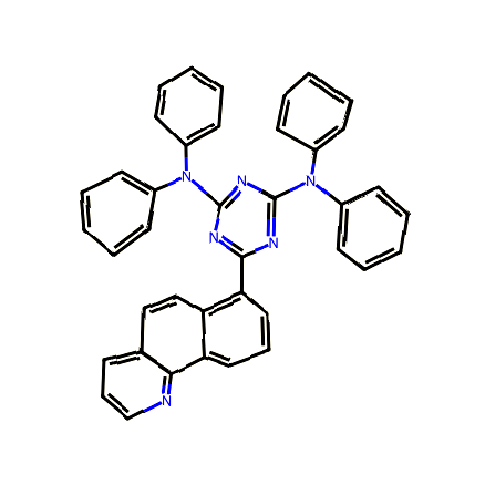 c1ccc(N(c2ccccc2)c2nc(-c3cccc4c3ccc3cccnc34)nc(N(c3ccccc3)c3ccccc3)n2)cc1